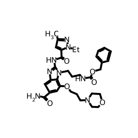 CCn1nc(C)cc1C(=O)Nc1nc2cc(C(N)=O)cc(OCCCN3CCOCC3)c2n1CCCNC(=O)OCc1ccccc1